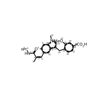 CCCNC(=O)/C(C)=C\c1ccc2c(c1)c(Cc1ccc(C(=O)O)cc1OC)cn2C